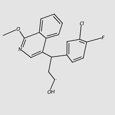 COc1ncc(C(C[CH]O)c2ccc(F)c(Cl)c2)c2ccccc12